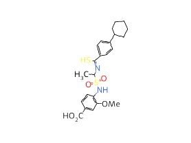 COc1cc(C(=O)O)ccc1NS(=O)(=O)C(C)/N=C(\S)c1ccc(C2CCCCC2)cc1